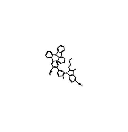 CCCCc1c(C)c2cc(C#N)ccc2n1-c1cc(-c2ccc(-c3ccccc3-n3c4c(c5ccccc53)CCC=C4)cc2C#N)ccc1C